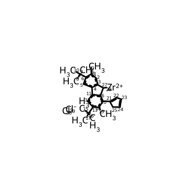 Cc1cc2c(cc1C(C)(C)C)-c1cc(C(C)(C)C)c(C)c(C3=CC=CC3)c1[CH]2[Zr+2].[Cl-].[Cl-]